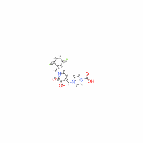 O=C(O)N1CCN(Cc2ccn(Cc3cc(F)ccc3F)c(=O)c2O)CC1